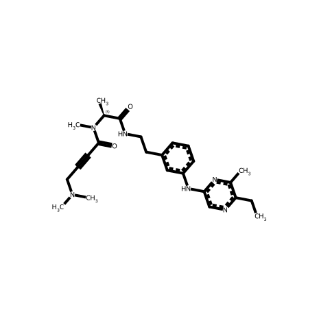 CCc1ncc(Nc2cccc(CCNC(=O)[C@H](C)N(C)C(=O)C#CCN(C)C)c2)nc1C